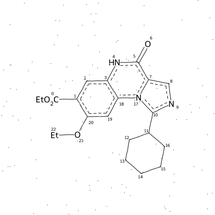 CCOC(=O)c1cc2[nH]c(=O)c3cnc(C4CCCCC4)n3c2cc1OCC